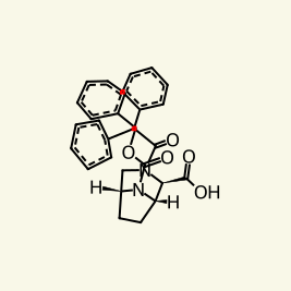 O=C(O)[C@H]1[C@@H]2CC[C@H](CN1C(=O)C(c1ccccc1)c1ccccc1)N2C(=O)OCc1ccccc1